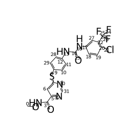 CONC(=O)c1cc(Sc2ccc(NC(=O)Nc3ccc(Cl)c(C(F)(F)F)c3)cc2)ncn1